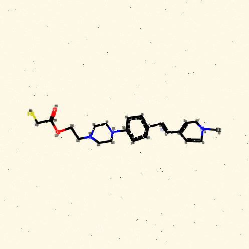 CCN1C=CC(/C=C/c2ccc(N3CCN(CCOC(=O)CS)CC3)cc2)=CC1